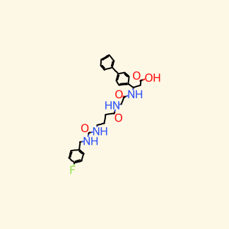 O=C(O)CC(NC(=O)CNC(=O)CCCNC(=O)NCc1ccc(F)cc1)c1ccc(-c2ccccc2)cc1